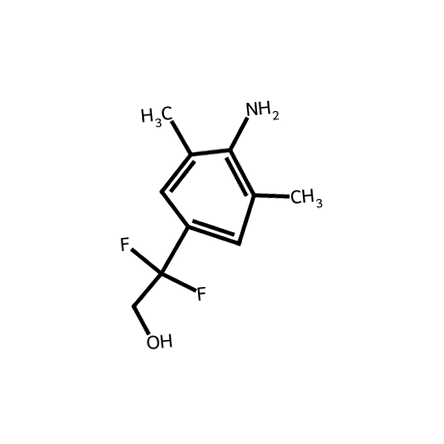 Cc1cc(C(F)(F)CO)cc(C)c1N